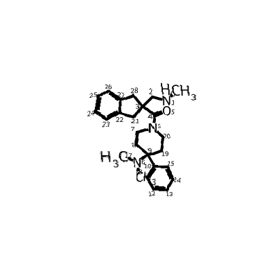 CNCC1(C(=O)N2CCC(c3ccccc3)(N(C)C)CC2)Cc2ccccc2C1